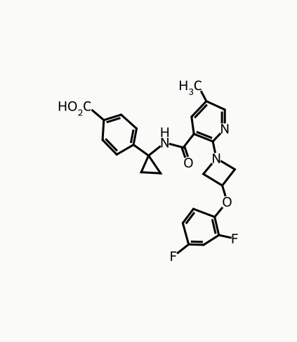 Cc1cnc(N2CC(Oc3ccc(F)cc3F)C2)c(C(=O)NC2(c3ccc(C(=O)O)cc3)CC2)c1